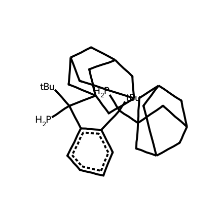 CC(C)(C)C(P)(c1ccccc1C(P)(C(C)(C)C)C12CC3CC(CC(C3)C1)C2)C12CC3CC(CC(C3)C1)C2